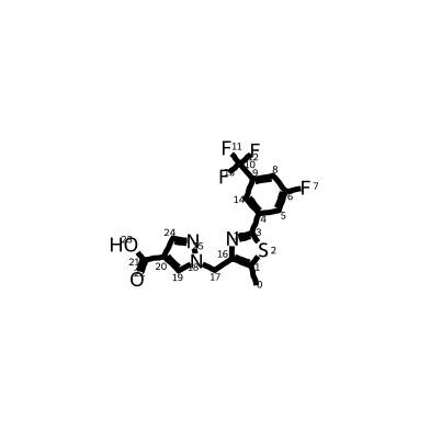 Cc1sc(-c2cc(F)cc(C(F)(F)F)c2)nc1Cn1cc(C(=O)O)cn1